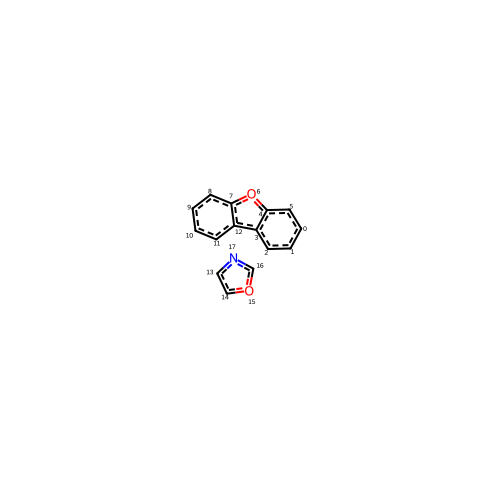 c1ccc2c(c1)oc1ccccc12.c1cocn1